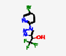 OC(c1cn(-c2ccc(Br)cn2)nn1)C(F)(F)F